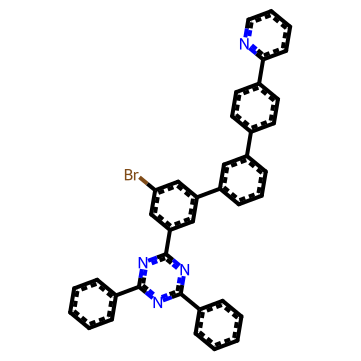 Brc1cc(-c2cccc(-c3ccc(-c4ccccn4)cc3)c2)cc(-c2nc(-c3ccccc3)nc(-c3ccccc3)n2)c1